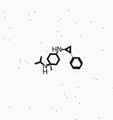 CC(C)N[C@]1(C)CC[C@@H](N[C@H]2C[C@@H]2c2ccccc2)CC1